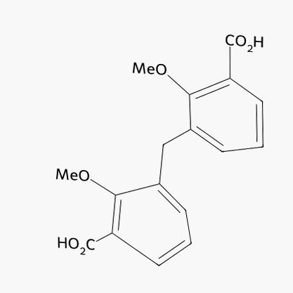 COc1c(Cc2cccc(C(=O)O)c2OC)cccc1C(=O)O